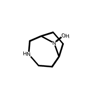 ON1C2CCNCC1CC2